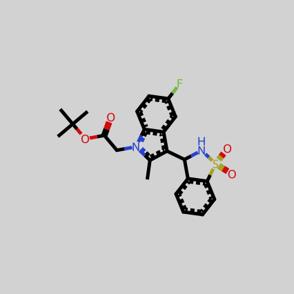 Cc1c(C2NS(=O)(=O)c3ccccc32)c2cc(F)ccc2n1CC(=O)OC(C)(C)C